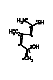 C=C(O)/C=C(C)\C=C(/N)S